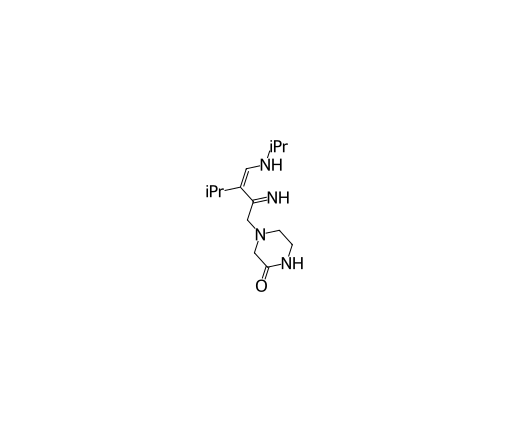 CC(C)N/C=C(\C(=N)CN1CCNC(=O)C1)C(C)C